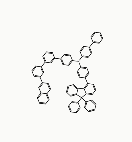 c1ccc(-c2ccc(N(c3ccc(-c4cccc(-c5cccc(-c6ccc7ccccc7c6)c5)c4)cc3)c3ccc(-c4cccc5c4-c4ccccc4C5(c4ccccc4)c4ccccc4)cc3)cc2)cc1